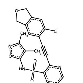 Cc1noc(NS(=O)(=O)c2cccnc2C#Cc2cc3c(cc2Cl)COC3)c1C